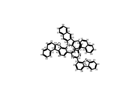 CC1C#CCc2c1n(-c1c(-c3nc(-c4cccc5ccccc45)nc(-c4cccc5c4sc4ccccc45)n3)ccc3c1oc1ccc4ccccc4c13)c1cc3ccccc3cc21